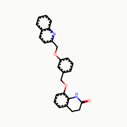 O=C1CCc2cccc(OCc3cccc(OCc4ccc5ccccc5n4)c3)c2N1